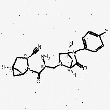 N#C[C@@H]1C[C@@H]2CC2N1C(=O)[C@@H](N)CN1C[C@@H]2C[C@H]1C(=O)N2c1ccc(F)cc1